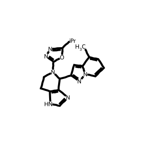 Cc1cccn2nc(C3c4nc[nH]c4CCN3c3nnc(C(C)C)o3)cc12